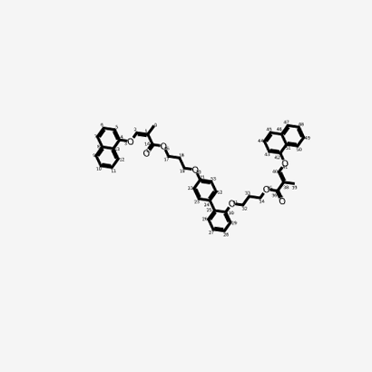 CC(=COc1cccc2ccccc12)C(=O)OCCCOc1ccc(-c2ccccc2OCCCOC(=O)C(C)=COc2cccc3ccccc23)cc1